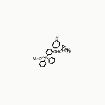 C1=CC=CNC=C1.COC[P+](c1ccccc1)(c1ccccc1)c1ccccc1.Cl.O=CC1CC1.P.[Cl-]